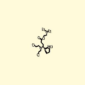 CCN(CC)CCOC(=O)CCC(c1ccccc1)N(CCCl)CCCl.Cl